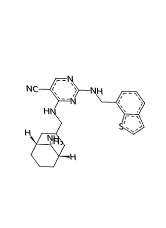 N#Cc1cnc(NCc2cccc3ccsc23)nc1NCC1C[C@H]2CCC[C@@H](C1)[C@@H]2N